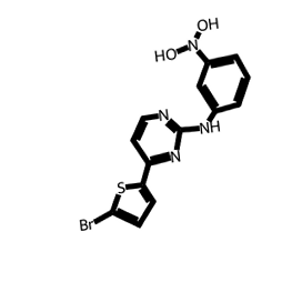 ON(O)c1cccc(Nc2nccc(-c3ccc(Br)s3)n2)c1